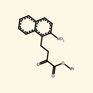 CC(C)OC(=O)C(=O)CCc1c([N+](=O)[O-])ccc2ccccc12